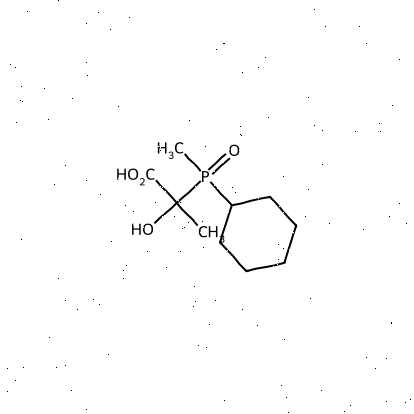 CC(O)(C(=O)O)P(C)(=O)C1CCCCC1